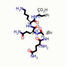 CC[C@H](C)[C@H](NC(=O)[C@@H](N)CCC(N)=O)C(=O)N[C@@H](CCC(N)=O)C(=O)N[C@@H](CCCCN)C(=O)N[C@@H](CC(C)C)C(=O)O